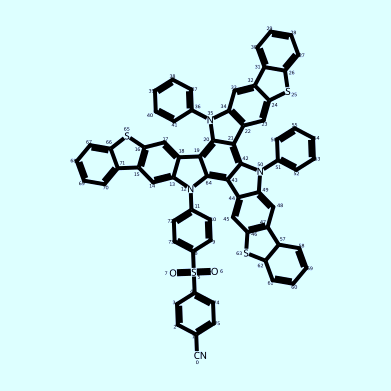 N#Cc1ccc(S(=O)(=O)c2ccc(-n3c4cc5c(cc4c4c6c(c7cc8sc9ccccc9c8cc7n6-c6ccccc6)c6c(c7cc8c(cc7n6-c6ccccc6)C6C=CC=CC6S8)c43)sc3ccccc35)cc2)cc1